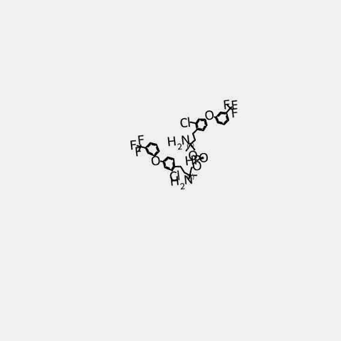 C[C@@](N)(CCc1ccc(Oc2cccc(C(F)(F)F)c2)cc1Cl)CO[PH](=O)OC[C@](C)(N)CCc1ccc(Oc2cccc(C(F)(F)F)c2)cc1Cl